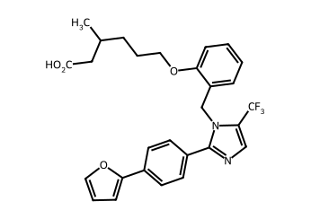 CC(CCCOc1ccccc1Cn1c(C(F)(F)F)cnc1-c1ccc(-c2ccco2)cc1)CC(=O)O